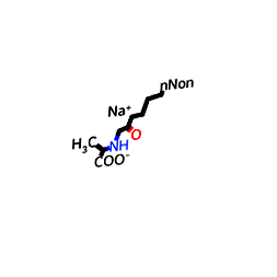 CCCCCCCCCCCCCC(=O)CNC(C)C(=O)[O-].[Na+]